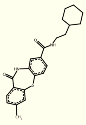 Cc1ccc2c(c1)Sc1ccc(C(=O)NCCC3CCCCC3)cc1NC2=O